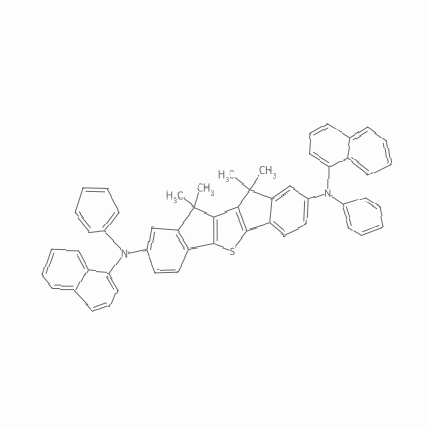 CC1(C)c2cc(N(c3ccccc3)c3cccc4ccccc34)ccc2-c2sc3c(c21)C(C)(C)c1cc(N(c2ccccc2)c2cccc4ccccc24)ccc1-3